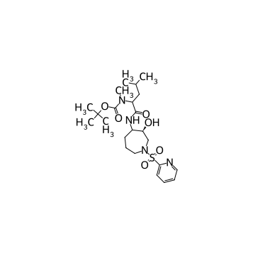 CC(C)CC(C(=O)NC1CCCN(S(=O)(=O)c2ccccn2)C[C@@H]1O)N(C)C(=O)OC(C)(C)C